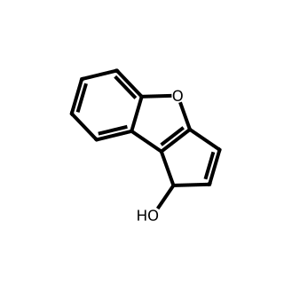 OC1C=Cc2oc3ccccc3c21